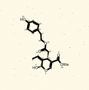 C/C=C1\[C@H](O)OC=C(C(=O)OC)[C@@H]1CC(=O)OCCc1ccc(O)cc1